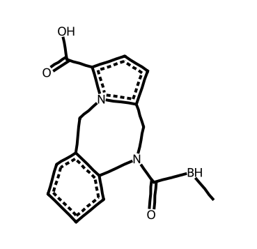 CBC(=O)N1Cc2ccc(C(=O)O)n2Cc2ccccc21